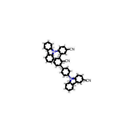 N#Cc1ccc(-n2c3ccccc3c3ccccc32)c(-c2cccc(-c3ccc(-n4c5ccccc5c5cc(C#N)ccc54)cc3)c2C#N)c1